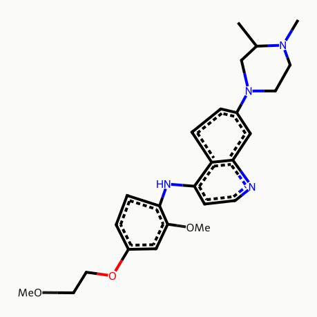 COCCOc1ccc(Nc2ccnc3cc(N4CCN(C)C(C)C4)ccc23)c(OC)c1